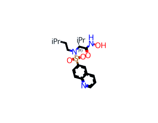 CC(C)CCN([C@@H](C(=O)NO)C(C)C)S(=O)(=O)c1ccc2ncccc2c1